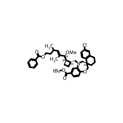 CO[C@@H](/C(C)=C/C(C)CCOC(=O)c1ccccc1)[C@@H]1CC[C@H]1CN1C[C@@]2(CCCc3cc(Cl)ccc32)COc2ccc(C(=O)OC(C)(C)C)cc21